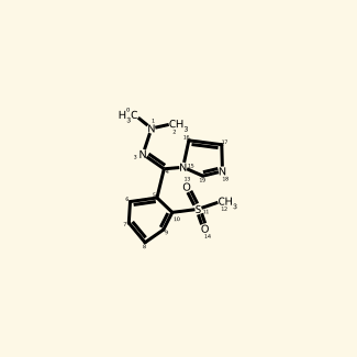 CN(C)N=C(c1ccccc1S(C)(=O)=O)n1ccnc1